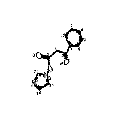 O=C(CC(=O)c1ccccc1)On1ccnc1